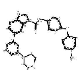 Cc1ccc(Oc2ccc(NC(=O)c3n[nH]c4ccc(-c5cncc(N6CCOCC6)c5)cc34)cn2)cc1